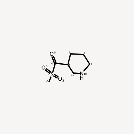 CS(=O)(=O)C(=O)C1CCCNC1